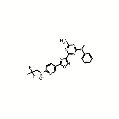 CN(c1ccccc1)c1nc(N)nc(-c2noc(-c3ccc([S+]([O-])CC(F)(F)F)nc3)n2)n1